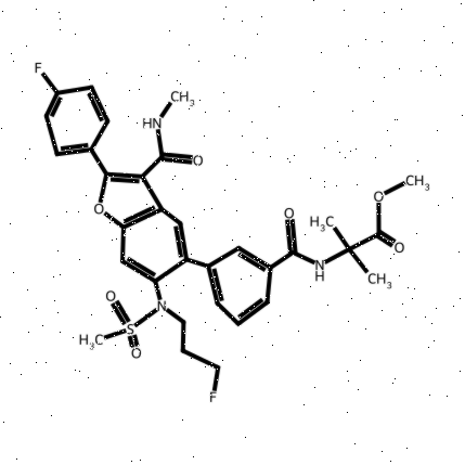 CNC(=O)c1c(-c2ccc(F)cc2)oc2cc(N(CCCF)S(C)(=O)=O)c(-c3cccc(C(=O)NC(C)(C)C(=O)OC)c3)cc12